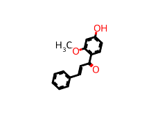 COc1cc(O)ccc1C(=O)C=Cc1ccccc1